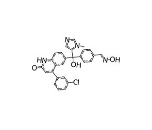 Cn1cncc1C(O)(c1ccc(C=NO)cc1)c1ccc2[nH]c(=O)cc(-c3cccc(Cl)c3)c2c1